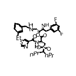 CCCC(CCC)S(=O)(=O)C[C@@H](NC(=O)c1cscn1)C(=O)O[C@H](CNCc1cccc(CC)c1)[C@@H](N)Cc1cc(F)cc(F)c1